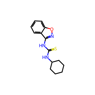 S=C(Nc1noc2ccccc12)NC1CCCCC1